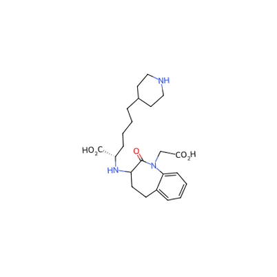 O=C(O)CN1C(=O)C(N[C@@H](CCCCC2CCNCC2)C(=O)O)CCc2ccccc21